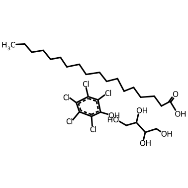 CCCCCCCCCCCCCCCCCC(=O)O.OCC(O)C(O)CO.Oc1c(Cl)c(Cl)c(Cl)c(Cl)c1Cl